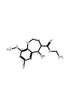 CCOC(=O)C1CCOc2c(OC)cc(Cl)cc2C1O